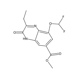 CCc1nc2c(OC(F)F)cc(C(=O)OC)cc2[nH]c1=O